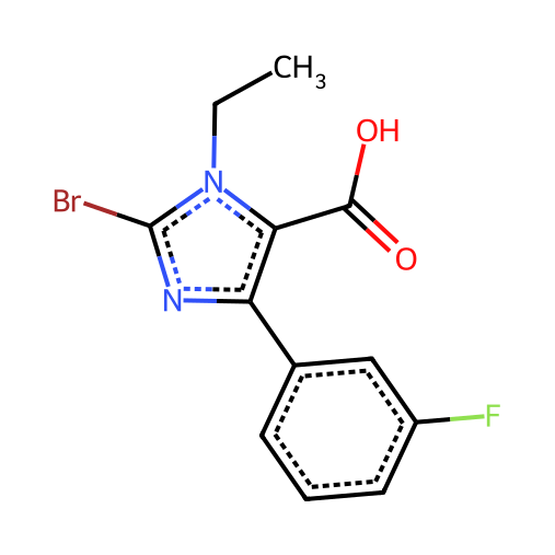 CCn1c(Br)nc(-c2cccc(F)c2)c1C(=O)O